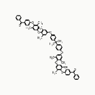 Cc1cc(Oc2ccc(C(C)(C)c3ccc(Oc4cc(C)c(Oc5cc(C)c(Oc6ccc(C(=O)c7ccccc7)cc6)c(C)c5)c(C)c4)cc3)cc2)cc(C)c1Oc1cc(C)c(Oc2ccc(C(=O)c3ccccc3)cc2)c(C)c1